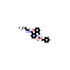 O=C(NCc1ccccc1-c1ccccc1C(=O)NCCCC(F)(F)F)OCc1ccccc1